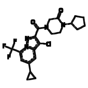 O=C(c1nn2c(C(F)(F)F)cc(C3CC3)cc2c1Cl)N1CCN(C2CCCC2)C(=O)C1